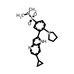 CN(C)S(=O)(=O)c1ccc(N2CCCC2)c(-c2cc3ncc(C4CC4)cc3[nH]2)c1